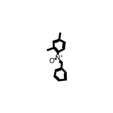 Cc1ccc([N+]([O-])=Cc2ccccc2)c(C)c1